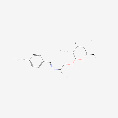 COc1ccc(C=N[C@@H](CO[C@@H]2O[C@H](COC(C)=O)[C@@H](OC(C)=O)[C@H](OC(C)=O)[C@H]2OC(C)=O)C(=O)O)cc1